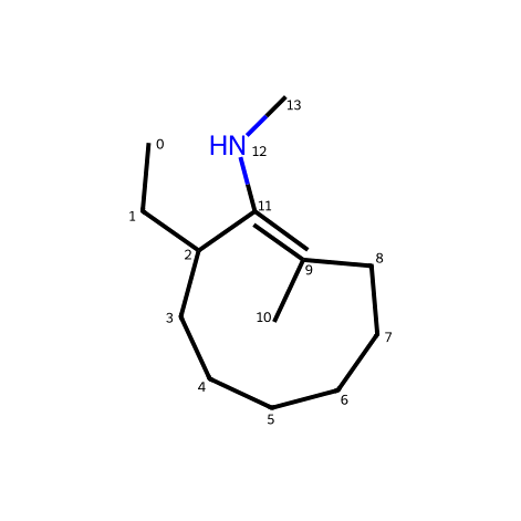 CCC1CCCCCC/C(C)=C/1NC